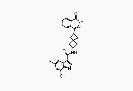 Cc1cc(F)cn2c(C(=O)N[C@H]3CC4(C3)C[C@H](c3n[nH]c(=O)c5ccccc53)C4)cnc12